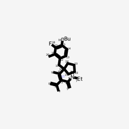 C=C(C)/C(C(=C)NCC)=C(\C)C1(Cc2ccc(CCCC)c(F)c2C)CCCC1